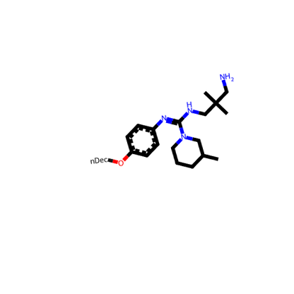 CCCCCCCCCCOc1ccc(/N=C(/NCC(C)(C)CN)N2CCCC(C)C2)cc1